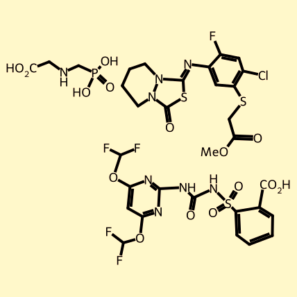 COC(=O)CSc1cc(/N=c2\sc(=O)n3n2CCCC3)c(F)cc1Cl.O=C(Nc1nc(OC(F)F)cc(OC(F)F)n1)NS(=O)(=O)c1ccccc1C(=O)O.O=C(O)CNCP(=O)(O)O